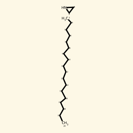 C1CN1.CCCCCCCCCCCCCCCCCC